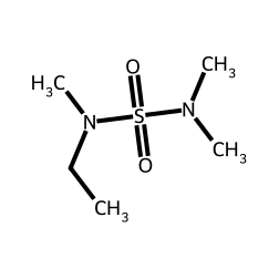 CCN(C)S(=O)(=O)N(C)C